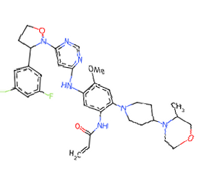 C=CC(=O)Nc1cc(Nc2cc(N3OCCC3c3cc(F)cc(F)c3)ncn2)c(OC)cc1N1CCC(N2CCOCC2C)CC1